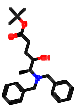 C[C@@H](C(O)CCC(=O)OC(C)(C)C)N(Cc1ccccc1)Cc1ccccc1